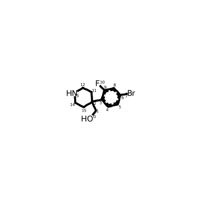 OCC1(c2ccc(Br)cc2F)CCNCC1